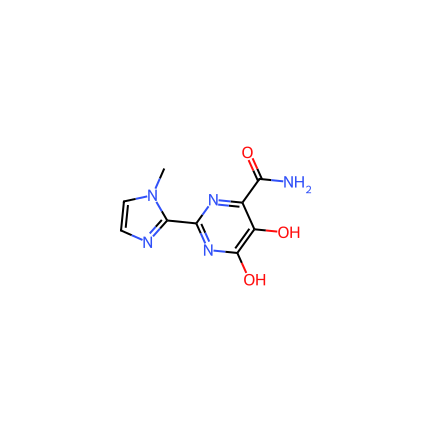 Cn1ccnc1-c1nc(O)c(O)c(C(N)=O)n1